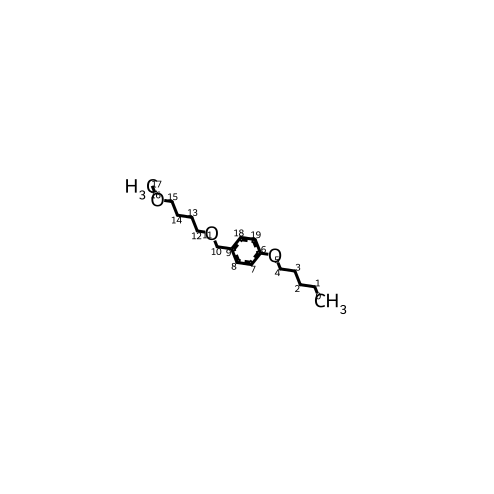 CCCCCOc1ccc(COCCCCOC)cc1